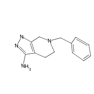 NC1=N[N]C2=C1CCN(Cc1ccccc1)C2